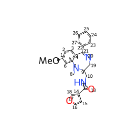 COc1ccc2c(c1)N(C)C(CNC(=O)c1ccoc1)CN=C2c1ccccc1